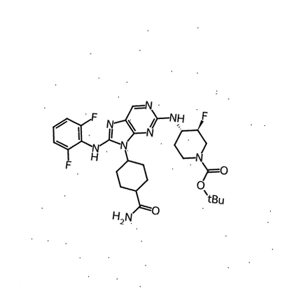 CC(C)(C)OC(=O)N1CC[C@H](Nc2ncc3nc(Nc4c(F)cccc4F)n(C4CCC(C(N)=O)CC4)c3n2)[C@@H](F)C1